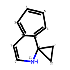 C1=Cc2ccccc2C2(CC2)N1